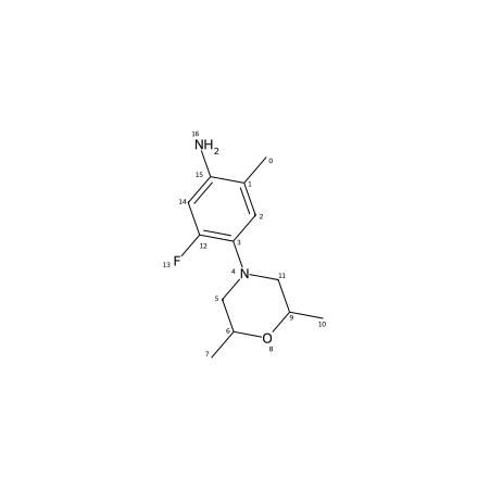 Cc1cc(N2CC(C)OC(C)C2)c(F)cc1N